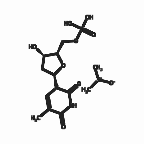 C[S+](C)[O-].Cc1cn([C@H]2C[C@H](O)[C@@H](COP(=O)(O)O)O2)c(=O)[nH]c1=O